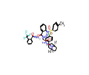 Cc1ccc(S(=O)(=O)Nc2ccccc2C(=O)NCC(=O)N[C@H]2C[C@H]3CC[C@@H](C2)N3Cc2ccc(Cl)cc2)cc1.NC(=O)c1ccccc1C(F)(F)F